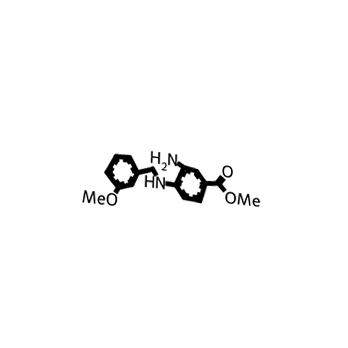 COC(=O)c1ccc(NCc2cccc(OC)c2)c(N)c1